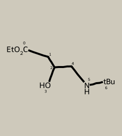 CCOC(=O)CC(O)CNC(C)(C)C